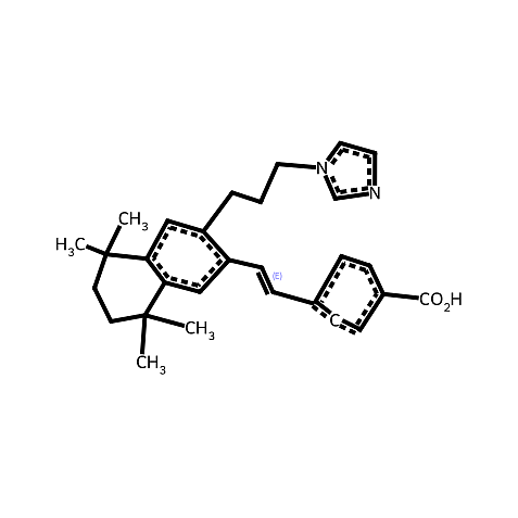 CC1(C)CCC(C)(C)c2cc(CCCn3ccnc3)c(/C=C/c3ccc(C(=O)O)cc3)cc21